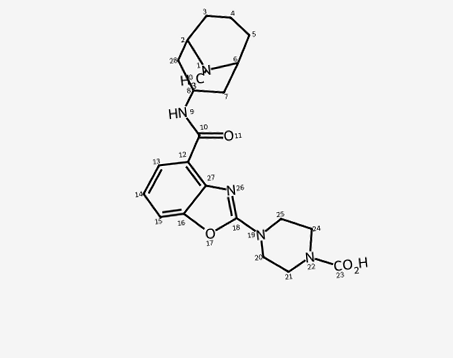 CN1C2CCCC1CC(NC(=O)c1cccc3oc(N4CCN(C(=O)O)CC4)nc13)C2